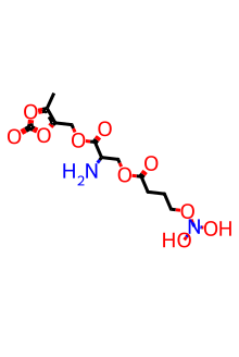 Cc1oc(=O)oc1COC(=O)C(N)COC(=O)CCCON(O)O